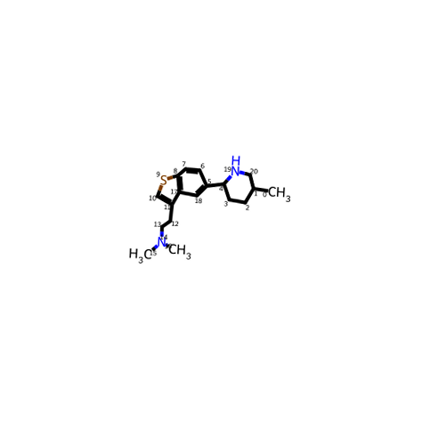 CC1CCC(c2ccc3scc(CCN(C)C)c3c2)NC1